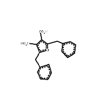 O=C(O)c1c(Cc2ccccc2)oc(Cc2ccccc2)c1C(=O)O